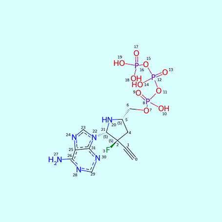 C#C[C@@]1(F)C[C@@H](COP(=O)(O)OP(=O)(O)OP(=O)(O)O)N[C@H]1n1cnc2c(N)ncnc21